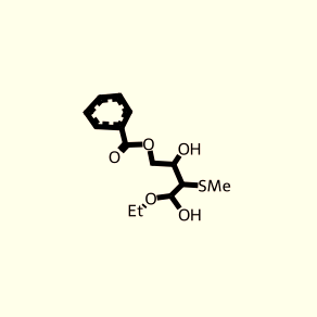 CCOC(O)C(SC)C(O)COC(=O)c1ccccc1